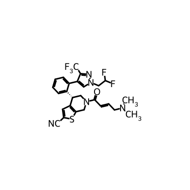 CN(C)C/C=C/C(=O)N1Cc2sc(C#N)cc2[C@H](c2ccccc2-c2cn(CC(F)F)nc2C(F)(F)F)C1